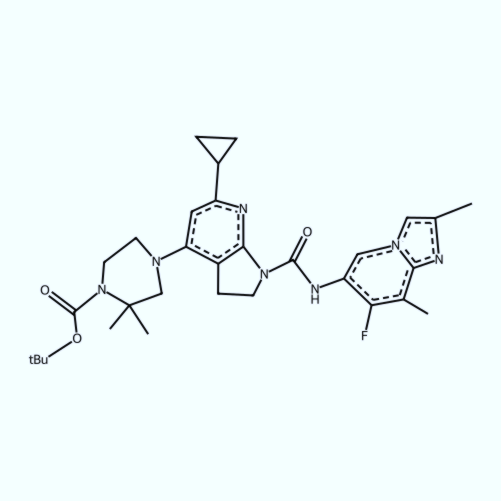 Cc1cn2cc(NC(=O)N3CCc4c(N5CCN(C(=O)OC(C)(C)C)C(C)(C)C5)cc(C5CC5)nc43)c(F)c(C)c2n1